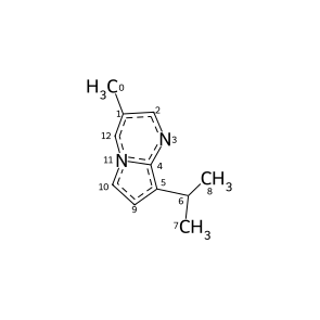 Cc1cnc2c(C(C)C)ccn2c1